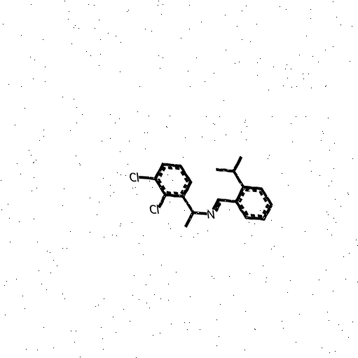 CC(C)c1ccccc1/C=N/C(C)c1cccc(Cl)c1Cl